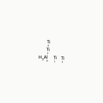 [AlH3].[Ti].[Ti].[Ti].[Ti]